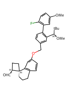 COc1ccc(F)c(-c2ccc(COc3ccc4c(c3)[C@]3(CCC4)CC[C@@H]3C=O)cc2[C@H](OC)C(C)(C)C)c1